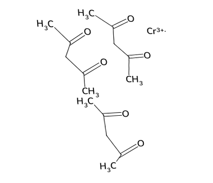 CC(=O)CC(C)=O.CC(=O)CC(C)=O.CC(=O)CC(C)=O.[Cr+3]